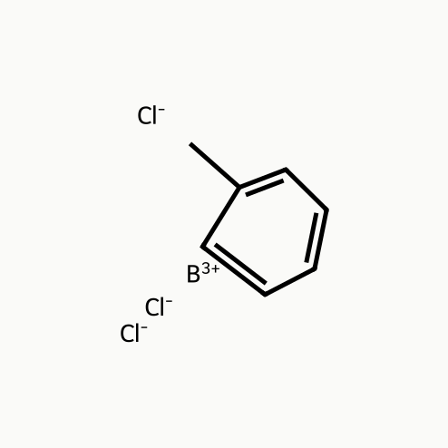 Cc1ccccc1.[B+3].[Cl-].[Cl-].[Cl-]